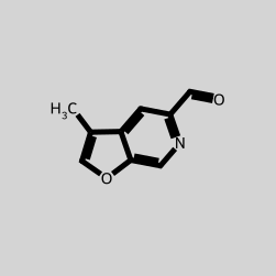 Cc1coc2cnc(C=O)cc12